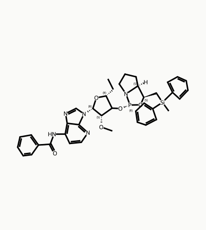 CC[C@H]1O[C@@H](n2cnc3c(NC(=O)c4ccccc4)ccnc32)[C@@H](OC)C1O[P@@]1O[C@H](C[Si](C)(c2ccccc2)c2ccccc2)[C@@H]2CCCN21